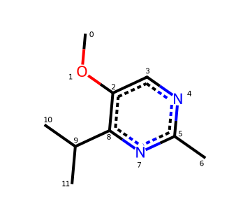 COc1cnc(C)nc1C(C)C